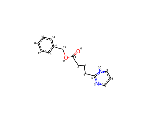 O=C(CCCc1ncccn1)OCc1ccccc1